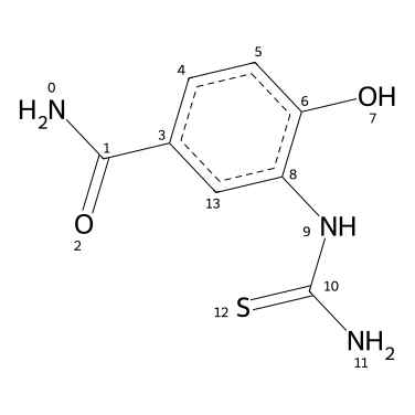 NC(=O)c1ccc(O)c(NC(N)=S)c1